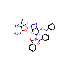 CO[C@H]1O[C@@H](n2cnc3c(OCc4ccccc4)nc(N(C(=O)c4ccccc4)C(=O)c4ccccc4)nc32)[C@](C)(F)[C@@H]1C